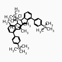 CC1=Cc2c(-c3ccc([Si](C)(C)C)cc3)ccc(C)c2[CH]1[Zr]([Cl])([Cl])([CH]1C(C(C)C)=Cc2c(-c3ccc([Si](C)(C)C)cc3)cccc21)[SiH](C)C